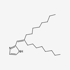 CCCCCCCCC(=Cc1ncc[nH]1)CCCCCCCC